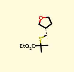 CCOC(=O)C(C)(C)SC[C@H]1CCOC1